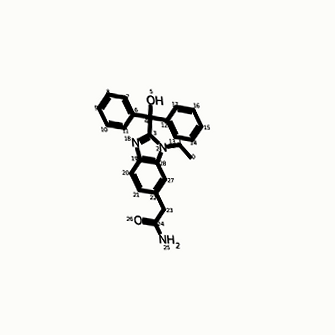 CCn1c(C(O)(c2ccccc2)c2ccccc2)nc2ccc(CC(N)=O)cc21